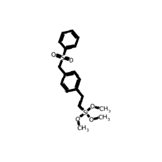 CO[Si](CCc1ccc(CS(=O)(=O)c2ccccc2)cc1)(OC)OC